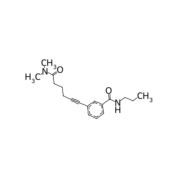 CCCNC(=O)c1cccc(C#CCCCC(=O)N(C)C)c1